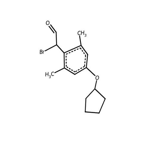 Cc1cc(OC2CCCC2)cc(C)c1C(Br)C=O